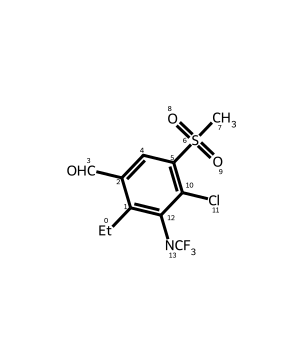 CCc1c(C=O)cc(S(C)(=O)=O)c(Cl)c1NC(F)(F)F